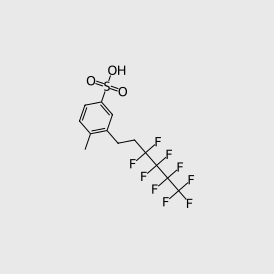 Cc1ccc(S(=O)(=O)O)cc1CCC(F)(F)C(F)(F)C(F)(F)C(F)(F)F